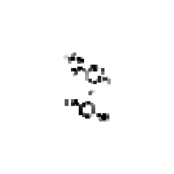 COC(=O)C(N)CC(C)CCc1cc(O)ccc1O